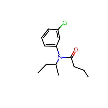 CCCC(=O)N(c1cccc(Cl)c1)C(C)CC